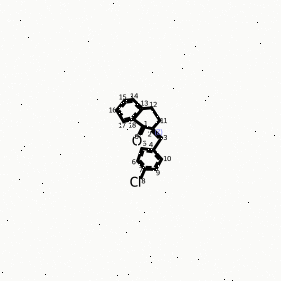 O=C1/C(=C\c2ccc(Cl)cc2)CCc2ccccc21